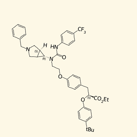 CCOC(=O)[C@H](Cc1ccc(OCCN(C(=O)Nc2ccc(C(F)(F)F)cc2)[C@@H]2C3CN(Cc4ccccc4)C[C@H]32)cc1)Oc1ccc(C(C)(C)C)cc1